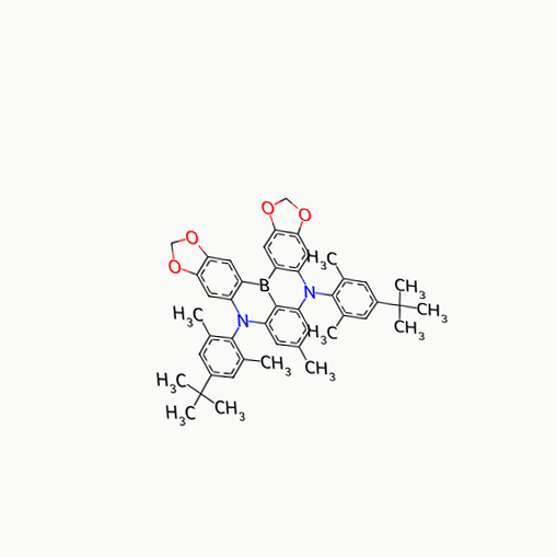 Cc1cc2c3c(c1)N(c1c(C)cc(C(C)(C)C)cc1C)c1cc4c(cc1B3c1cc3c(cc1N2c1c(C)cc(C(C)(C)C)cc1C)OCO3)OCO4